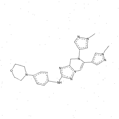 Cn1cc(C2=Cn3nc(Nc4ccc(N5CCOCC5)cc4)nc3CN2c2cnn(C)c2)cn1